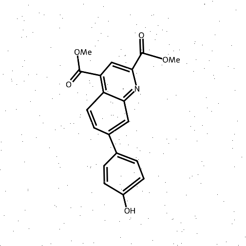 COC(=O)c1cc(C(=O)OC)c2ccc(-c3ccc(O)cc3)cc2n1